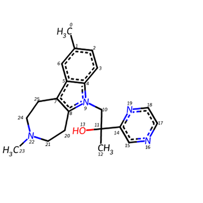 Cc1ccc2c(c1)c1c(n2CC(C)(O)c2cnccn2)CCN(C)CC1